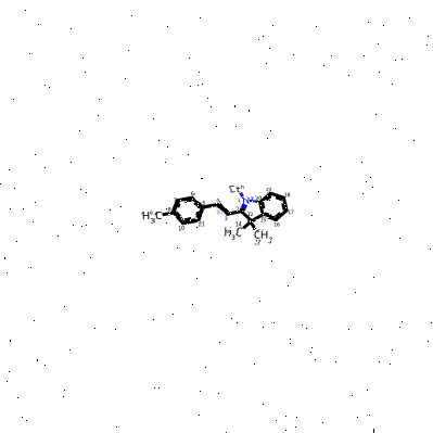 CC[N+]1=C(/C=C/c2ccc(C)cc2)C(C)(C)c2ccccc21